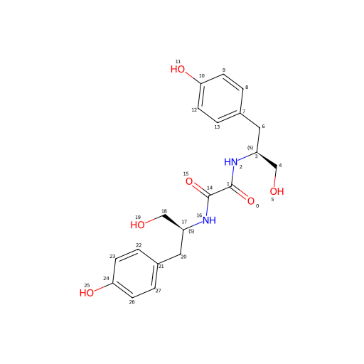 O=C(N[C@H](CO)Cc1ccc(O)cc1)C(=O)N[C@H](CO)Cc1ccc(O)cc1